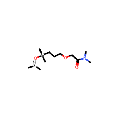 CN(C)C(=O)COCCC[Si](C)(C)O[SiH](C)C